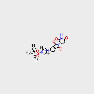 CC(C)(C)OC(=O)N1C[C@H]2C[C@@H]1CN2c1ccc2c(c1)C(=O)N(C1CCC(=O)NC1=O)C2=O